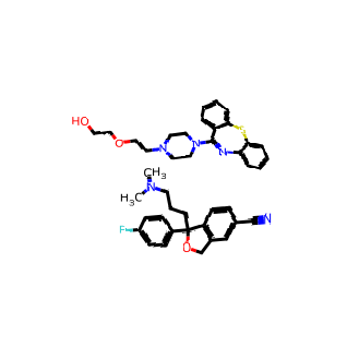 CN(C)CCCC1(c2ccc(F)cc2)OCc2cc(C#N)ccc21.OCCOCCN1CCN(C2=Nc3ccccc3Sc3ccccc32)CC1